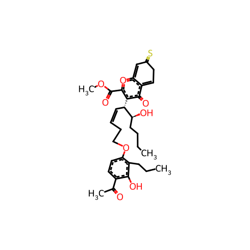 CCCC[C@H](O)[C@H](/C=C\CCOc1ccc(C(C)=O)c(O)c1CCC)c1c(C(=O)OC)oc2c(c1=O)=CCC(=S)C=2